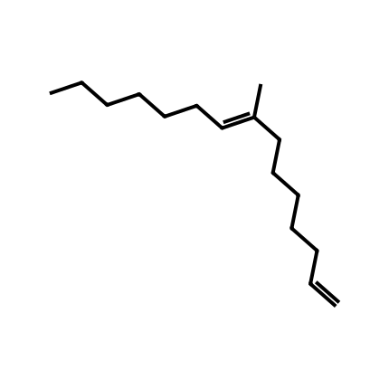 C=CCCCCCC(C)=CCCCCCC